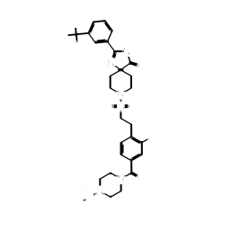 Cc1cc(C(=O)N2CCN(S(C)(=O)=O)CC2)ccc1CCS(=O)(=O)N1CCC2(CC1)N=C(c1cccc(C(F)(F)F)c1)NC2=O